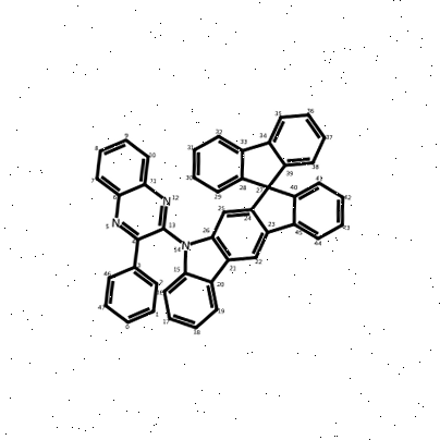 c1ccc(-c2nc3ccccc3nc2-n2c3ccccc3c3cc4c(cc32)C2(c3ccccc3-c3ccccc32)c2ccccc2-4)cc1